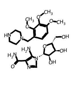 COc1ccc(CN2CCNCC2)c(OC)c1OC.NC(=O)c1ncn([C@@H]2O[C@H](CO)[C@@H](O)[C@H]2O)c1N